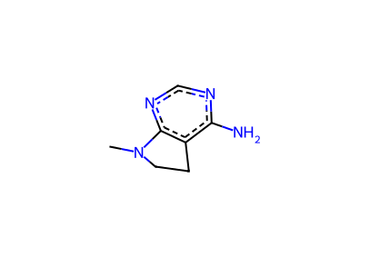 CN1CCc2c(N)ncnc21